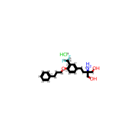 Cl.NC(CO)(CO)CCc1ccc(OCCCc2ccccc2)c(C(F)F)c1